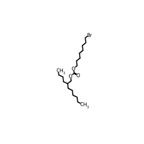 CCCCCCC(CCCC)COC(=O)OCCCCCCCCBr